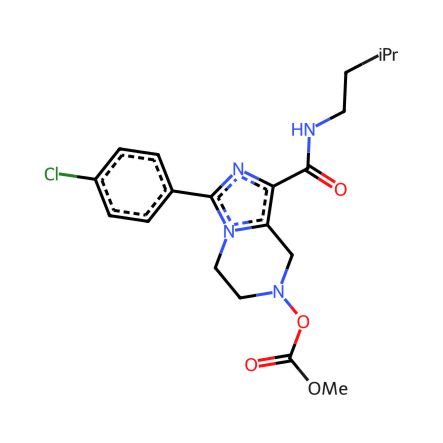 COC(=O)ON1CCn2c(-c3ccc(Cl)cc3)nc(C(=O)NCCC(C)C)c2C1